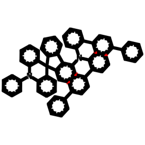 c1ccc(-c2ccc(-c3ccccc3N(c3ccccc3-c3ccc(-c4ccccc4)cc3)c3cccc4c3-c3ccccc3C43c4ccccc4N(c4ccccc4)c4ccccc43)cc2)cc1